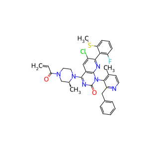 C=CC(=O)N1CCN(c2nc(=O)n(-c3c(C)ccnc3Cc3ccccc3)c3nc(-c4c(F)cccc4SC)c(Cl)cc23)[C@@H](C)C1